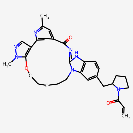 C=CC(=O)N1CCCC1Cc1ccc2c(c1)N1CCCCCOc3c(cnn3C)-c3cc(cc(C)n3)C(=O)/N=C/1N2